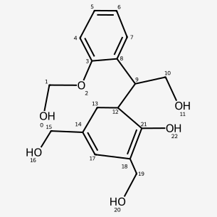 OCOc1ccccc1C(CO)C1CC(CO)=CC(CO)=C1O